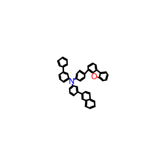 c1ccc(-c2cccc(N(c3ccc(-c4cccc5c4oc4ccccc45)cc3)c3cccc(-c4ccc5ccccc5c4)c3)c2)cc1